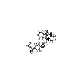 Cc1ccccc1S(=O)(=O)NC1CCCN1CCCOc1ccc(C(=O)C2CC2)cc1